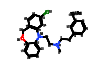 CC(=O)Nc1cccc(CCN(C)CCN2c3cc(Cl)ccc3COc3ccccc32)c1